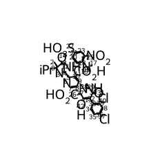 CC(C)C1(C)N=C(c2ncccc2C(=O)O)NC1=O.CN(C)c1ccc(S(=O)(=O)O)cc1[N+](=O)[O-].O=C(O)c1n[nH]c(=O)c(-c2ccc(Cl)cc2Cl)c1O